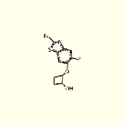 O[C@H]1CC[C@H]1Oc1cc2sc(Br)nc2cc1F